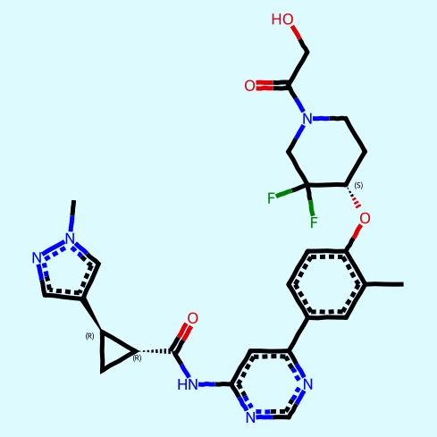 Cc1cc(-c2cc(NC(=O)[C@@H]3C[C@H]3c3cnn(C)c3)ncn2)ccc1O[C@H]1CCN(C(=O)CO)CC1(F)F